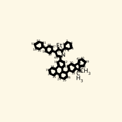 CCC1C(c2ccccc2)=NC(c2ccc3c(c2)c2ccccc2c2cccc(-c4ccc5c(c4)C(C)(C)c4ccccc4-5)c23)=CC1c1ccc(-c2ccccc2)cc1